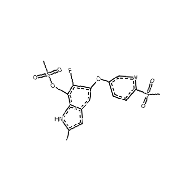 Cc1cc2cc(Oc3ccc(S(C)(=O)=O)nc3)c(F)c(OS(C)(=O)=O)c2[nH]1